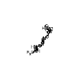 Cn1c(=O)n(C2CCC(=O)NC2=O)c2ccc(CCOCCN3CCCC(N4CCN(Cc5ccc(-c6c[nH]c7nc(NCCC(F)(F)F)ncc67)cc5)CC4)C3)cc21